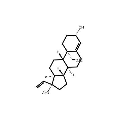 C=C[C@]1(OC(C)=O)CC[C@H]2[C@@H]3CCC4=C[C@@H](O)CC[C@]4(COC(C)=O)[C@H]3CC[C@@]21C